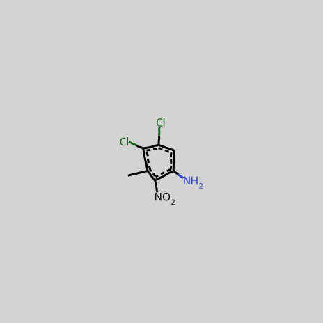 Cc1c(Cl)c(Cl)cc(N)c1[N+](=O)[O-]